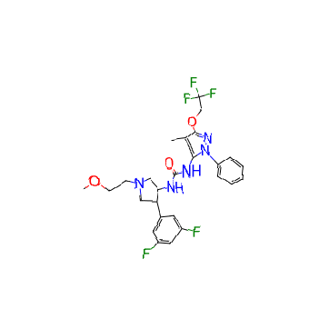 COCCN1CC(NC(=O)Nc2c(C)c(OCC(F)(F)F)nn2-c2ccccc2)C(c2cc(F)cc(F)c2)C1